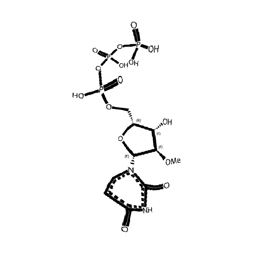 CO[C@@H]1[C@@H](O)[C@@H](COP(=O)(O)OP(=O)(O)OP(=O)(O)O)O[C@H]1n1ccc(=O)[nH]c1=O